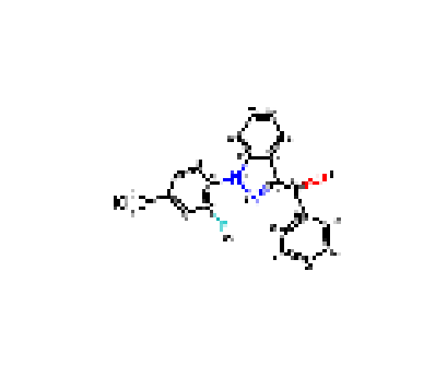 O=C(O)c1ccc(-n2nc(C(=O)c3ccccc3)c3ccccc32)c(F)c1